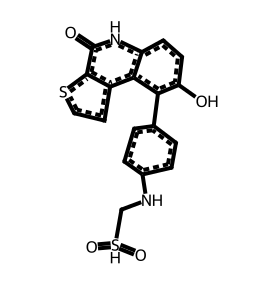 O=c1[nH]c2ccc(O)c(-c3ccc(NC[SH](=O)=O)cc3)c2c2ccsc12